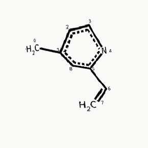 [CH2]c1ccnc(C=C)c1